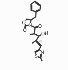 C/C(=C\c1csc(C)n1)C(O)C(C)C(=O)N1C(=O)OCC1Cc1ccccc1